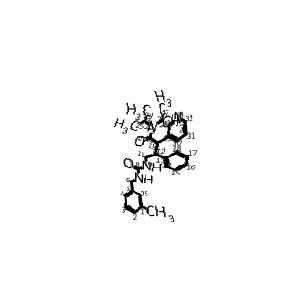 Cc1cccc(CNC(=O)NCC(c2ccccc2)C(C(=O)N(C(C)C)C(C)C)c2cccnc2)c1